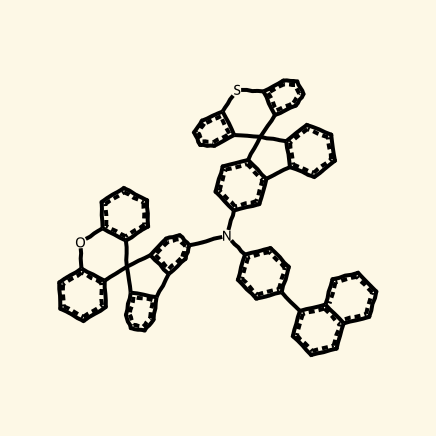 c1ccc2c(c1)Oc1ccccc1C21c2ccccc2-c2cc(N(c3ccc(-c4cccc5ccccc45)cc3)c3ccc4c(c3)-c3ccccc3C43c4ccccc4Sc4ccccc43)ccc21